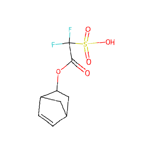 O=C(OC1CC2C=CC1C2)C(F)(F)S(=O)(=O)O